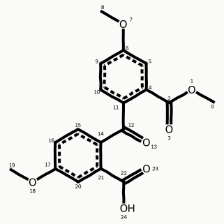 COC(=O)c1cc(OC)ccc1C(=O)c1ccc(OC)cc1C(=O)O